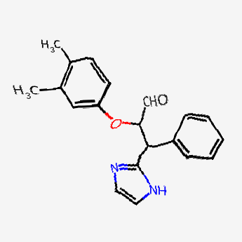 Cc1ccc(OC(C=O)C(c2ccccc2)c2ncc[nH]2)cc1C